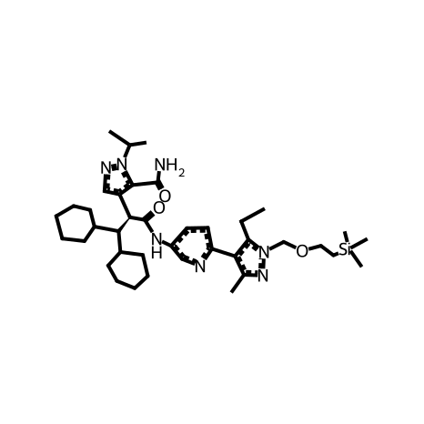 CCc1c(-c2ccc(NC(=O)[C@H](c3cnn(C(C)C)c3C(N)=O)C(C3CCCCC3)C3CCCCC3)cn2)c(C)nn1COCC[Si](C)(C)C